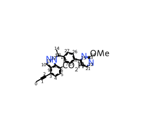 CC#Cc1ccc(C(=O)O)c2c1cnn2[C@@H](C)c1ccc(-c2ccnc(OC)n2)cc1